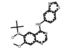 COc1cc2ncnc(Nc3ccc4scnc4c3)c2cc1[S+]([O-])C(C)(C)C